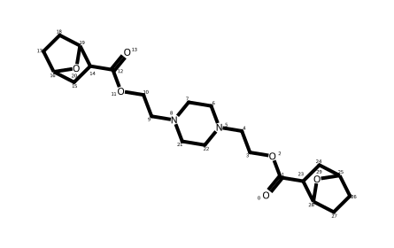 O=C(OCCN1CCN(CCOC(=O)C2CC3CCC2O3)CC1)C1CC2CCC1O2